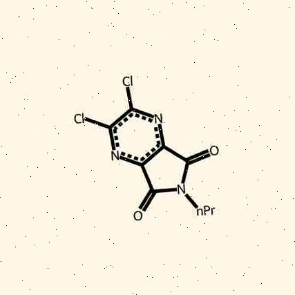 CCCN1C(=O)c2nc(Cl)c(Cl)nc2C1=O